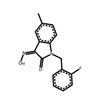 Cc1ccc2c(c1)/C(=N/O)C(=O)N2Cc1ccccc1F